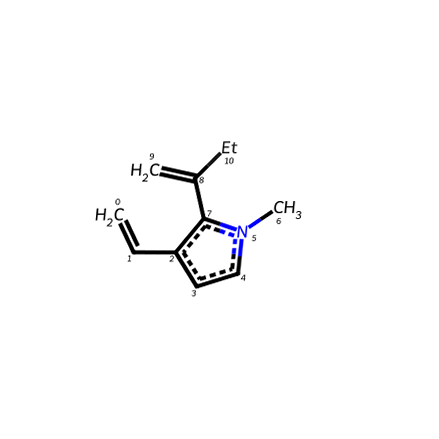 C=Cc1ccn(C)c1C(=C)CC